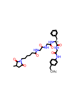 CC(=O)OCc1ccc(NC(=O)CNC(=O)[C@H](Cc2ccccc2)NC(=O)CNC(=O)CNC(=O)CCCCCN2C(=O)CC(C)C2=O)cc1